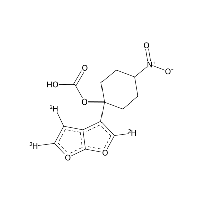 [2H]c1oc2oc([2H])c(C3(OC(=O)O)CCC([N+](=O)[O-])CC3)c2c1[2H]